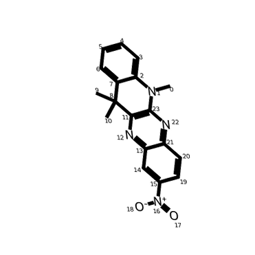 CN1c2ccccc2C(C)(C)c2nc3cc([N+](=O)[O-])ccc3nc21